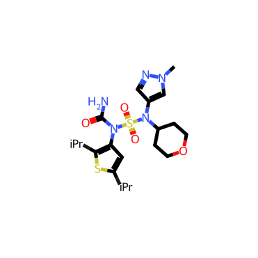 CC(C)c1cc(N(C(N)=O)S(=O)(=O)N(c2cnn(C)c2)C2CCOCC2)c(C(C)C)s1